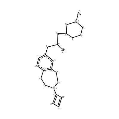 CC(=O)N1CCC[C@@H](CC(O)Cc2ccc3c(c2)CCN(C2=CC=C2)CC3)C1